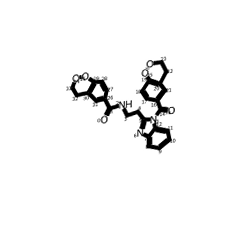 O=C(NCCc1nc2ccccc2n1C(=O)c1ccc2c(c1)CCOO2)c1ccc2c(c1)CCOO2